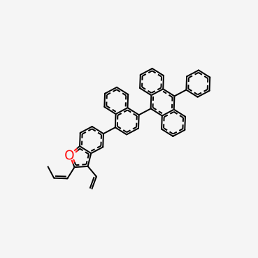 C=Cc1c(/C=C\C)oc2ccc(-c3ccc(-c4c5ccccc5c(-c5ccccc5)c5ccccc45)c4ccccc34)cc12